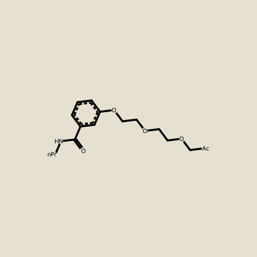 CCCNC(=O)c1cccc(OCCOCCOCC(C)=O)c1